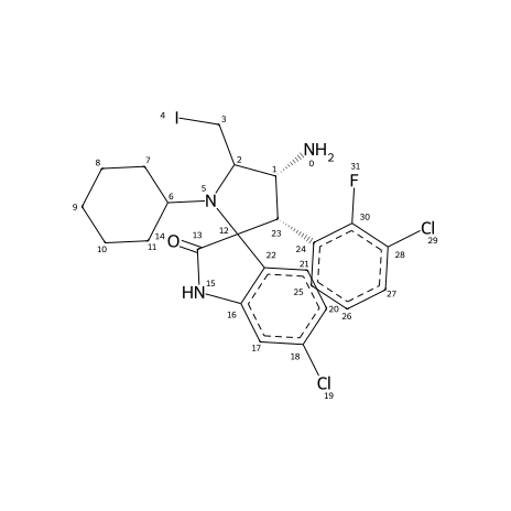 N[C@H]1C(CI)N(C2CCCCC2)C2(C(=O)Nc3cc(Cl)ccc32)[C@H]1c1cccc(Cl)c1F